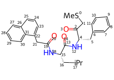 CSCC(=O)[C@H](Cc1ccccc1)NC(=O)[C@H](CC(C)C)NC(=O)Cc1cccc2ccccc12